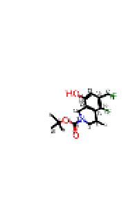 CC1CN(C(=O)OC(C)(C)C)Cc2c(O)cc(CF)c(F)c21